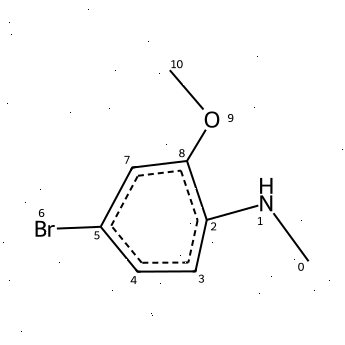 CNc1ccc(Br)cc1OC